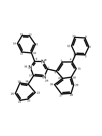 c1ccc(-c2cc(-c3nc(-c4ccccc4)nc(-c4ccccc4)n3)c3ccccc3c2)cc1